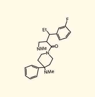 CCC(c1cccc(F)c1)C(CNC)C(=O)N1CCC(NC)(c2ccccc2)CC1